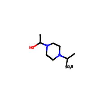 CC(O)N1CCN(C(C)S(=O)(=O)O)CC1